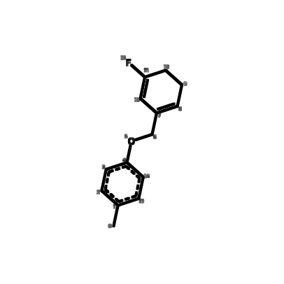 Cc1ccc(OCC2=CCCC(F)=C2)cc1